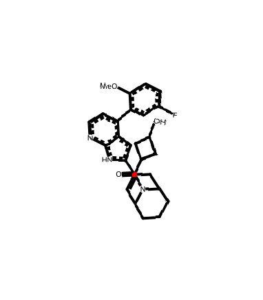 COc1ccc(F)cc1-c1ccnc2[nH]c(C3=CC4CCCC(C3)N4C(=O)C3CC(O)C3)cc12